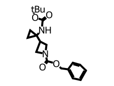 CC(C)(C)OC(=O)NC1(C2CN(C(=O)OCc3ccccc3)C2)CC1